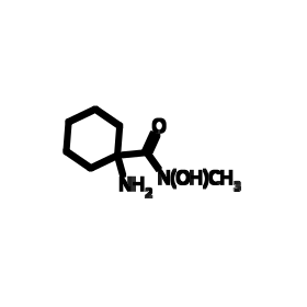 CN(O)C(=O)C1(N)CCCCC1